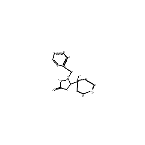 CC1(C2CC(=O)ON2Cc2ccccc2)CCOCC1